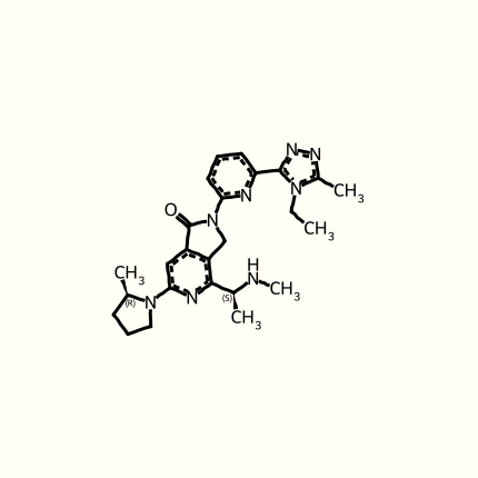 CCn1c(C)nnc1-c1cccc(N2Cc3c(cc(N4CCC[C@H]4C)nc3[C@H](C)NC)C2=O)n1